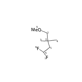 COCC(C)(C)CC(F)F